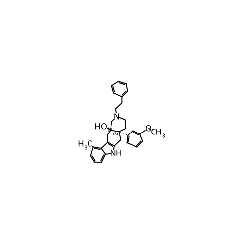 COc1cccc([C@@]23CCN(CCc4ccccc4)C[C@@]2(O)Cc2c([nH]c4cccc(C)c24)C3)c1